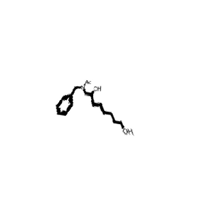 CC(=O)N(Cc1ccccc1)CC(O)CCCCCCO